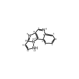 c1ccc2c(c1)ncc1nc3cc[nH]n3c12